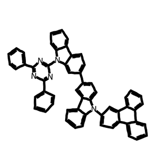 c1ccc(-c2nc(-c3ccccc3)nc(-n3c4ccccc4c4ccc(-c5ccc6c(c5)c5ccccc5n6-c5ccc6c7ccccc7c7ccccc7c6c5)cc43)n2)cc1